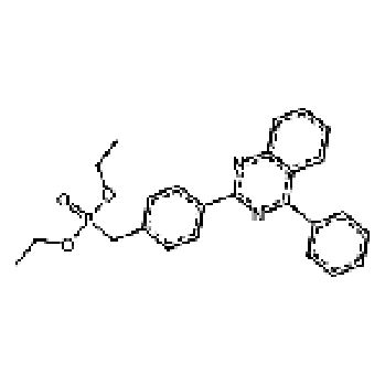 CCOP(=O)(Cc1ccc(-c2nc(-c3ccccc3)c3ccccc3n2)cc1)OCC